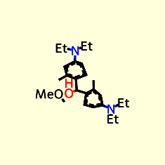 CCN(CC)c1ccc(C(O)c2ccc(N(CC)CC)cc2C)c(C)c1.COC